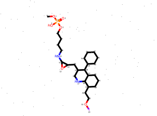 COP(=O)(O)OCCCCNC1OC1CC1CNC2C(CCOI)CCCC2C1C1CCCCC1